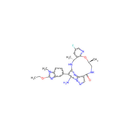 CCOc1nc2cc(-c3c4nc5c(cnn5c3N)C(=O)NC[C@H](C)Oc3ncc(F)cc3[C@@H](C)N4)ccc2n1C